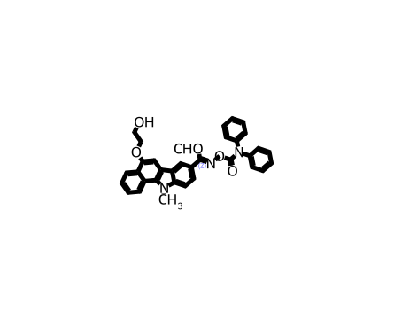 Cn1c2ccc(/C(C=O)=N/OC(=O)N(c3ccccc3)c3ccccc3)cc2c2cc(OCCO)c3ccccc3c21